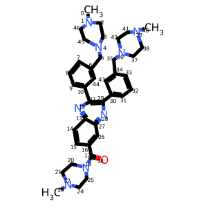 CN1CCN(Cc2cccc(-c3nc4ccc(C(=O)N5CCN(C)CC5)cc4nc3-c3cccc(CN4CCN(C)CC4)c3)c2)CC1